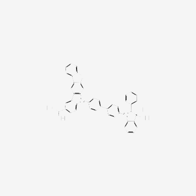 CC(C)c1ccc2c(c1)c1cc3c(cc1n2-c1ccc(-c2ccc(N4c5ccccc5C(C)(C)C4c4ccccc4)cc2)cc1)oc1ccccc13